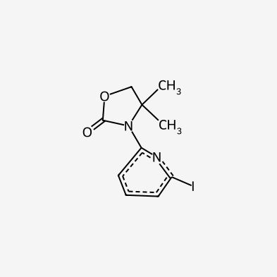 CC1(C)COC(=O)N1c1cccc(I)n1